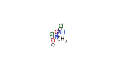 Cc1cc(C(=O)Nc2ccc(Cl)cc2)nn1Cc1cc(Cl)ccc1OCc1ccccc1